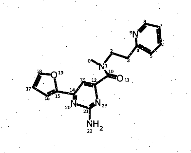 CN(CCc1ccccn1)C(=O)c1cc(-c2ccco2)nc(N)n1